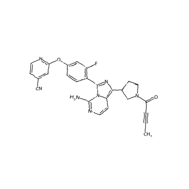 CC#CC(=O)N1CCC(c2nc(-c3ccc(Oc4cc(C#N)ccn4)cc3F)n3c(N)nccc23)C1